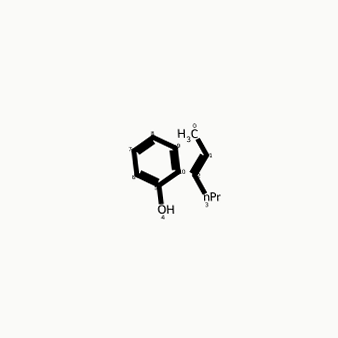 C/C=C/CCC.Oc1ccccc1